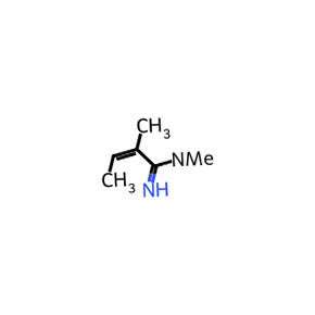 C/C=C(/C)C(=N)NC